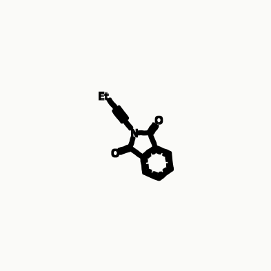 CCC#CN1C(=O)c2ccccc2C1=O